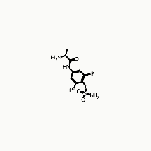 CC(N)C(=O)Nc1cc(C(C)C)c(OS(N)(=O)=O)c(C(C)C)c1